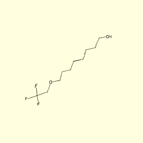 OCCCCCCCCOCC(F)(F)F